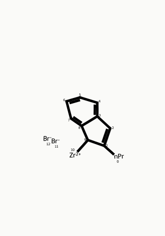 CCCC1=Cc2ccccc2[CH]1[Zr+2].[Br-].[Br-]